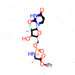 CC(C)OC(=O)[C@H](C)N[PH](=O)OC[C@H]1O[C@@H](n2ccc(=O)[nH]c2=O)[C@](C)(F)[C@@H]1O